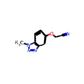 Cn1nnc2cc(OCC#N)ccc21